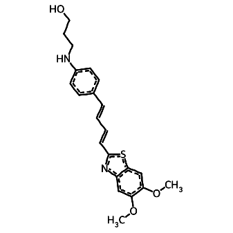 COc1cc2nc(C=CC=Cc3ccc(NCCCO)cc3)sc2cc1OC